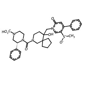 C[S+]([O-])c1cn(CC2(O)CCN(C(=O)N3CCN(C(=O)O)C[C@H]3c3ccccc3)CC23CCCC3)c(=O)cc1-c1ccccc1